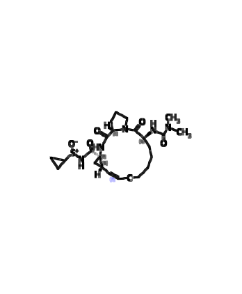 CN(C)C(=O)N[C@H]1CCCCC/C=C\[C@@H]2C[C@@]2(C(=O)N[S+]([O-])C2CC2)NC(=O)[C@@H]2CCCN2C1=O